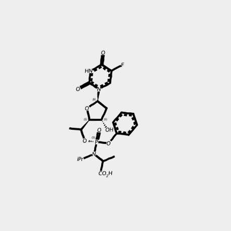 CC(O[P@](=O)(Oc1ccccc1)N(C(C)C)C(C)C(=O)O)[C@H]1O[C@@H](n2cc(F)c(=O)[nH]c2=O)C[C@@H]1O